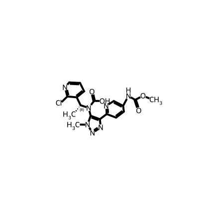 COC(=O)Nc1ccc(-c2nnn(C)c2N(C(=O)O)[C@H](C)c2cccnc2Cl)nc1